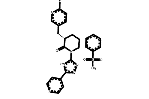 O=C1[C@H](Cc2ccc(F)nc2)CCCN1c1nnc(-c2ccncc2)[nH]1.O=S(=O)(O)c1ccccc1